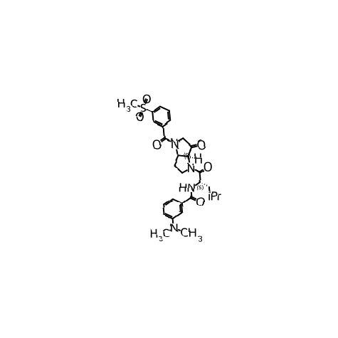 CC(C)C[C@H](NC(=O)c1cccc(N(C)C)c1)C(=O)N1CCC2[C@H]1C(=O)CN2C(=O)c1cccc(S(C)(=O)=O)c1